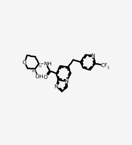 O=C(N[C@H]1CCOC[C@@H]1O)c1cc(Cc2ccc(C(F)(F)F)nc2)cn2ccnc12